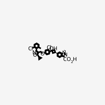 Cc1cccc(Cl)c1-c1noc(C2CC2)c1COc1ccc([C@]2(O)C[C@H](c3ccc4c(C(=O)O)nn(C)c4c3)C2)c(Cl)c1